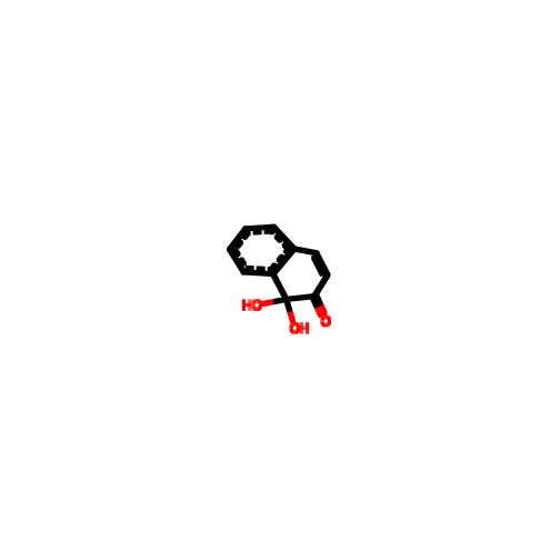 O=C1C=Cc2ccccc2C1(O)O